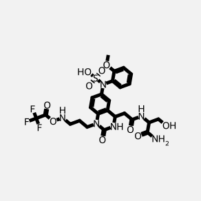 COc1ccccc1N(c1ccc2c(c1)C(CC(=O)NC(CO)C(N)=O)NC(=O)N2CCCNOC(=O)C(F)(F)F)S(=O)(=O)O